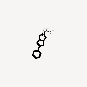 O=C(O)N1CC2C=C(c3ccccc3)CC2C1